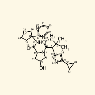 CC(C)(C)[C@H](C(=O)N1CC(O)CC1C(=O)NC1(c2ncccn2)CCOC1)n1cc(C2CC2)nn1